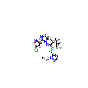 Cn1ncnc1COc1nn2c(-c3cc(Cl)on3)nnc2cc1C1(C)CCC1